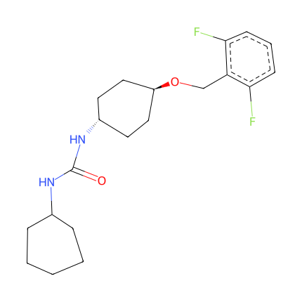 O=C(NC1CCCCC1)N[C@H]1CC[C@H](OCc2c(F)cccc2F)CC1